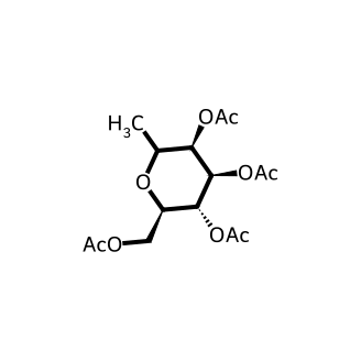 CC(=O)OC[C@H]1OC(C)[C@@H](OC(C)=O)[C@@H](OC(C)=O)[C@@H]1OC(C)=O